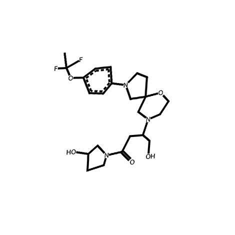 CC(F)(F)Oc1ccc(N2CCC3(C2)CN(C(CO)CC(=O)N2CCC(O)C2)CCO3)cc1